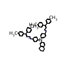 Cc1ccc(C(=C/C=C/c2ccc(N(c3ccc(/C=C/C=C(c4ccc(C)cc4)c4ccc(C)cc4)cc3)c3ccc4c(c3)CCCC4)cc2)c2ccc(C)cc2)cc1